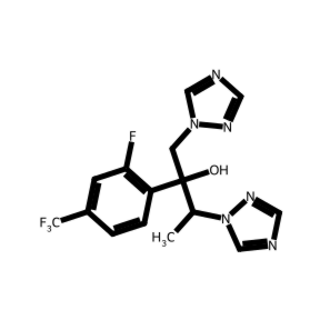 CC(n1cncn1)C(O)(Cn1cncn1)c1ccc(C(F)(F)F)cc1F